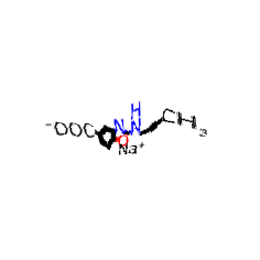 CC#CCNc1nc2cc(C(=O)[O-])ccc2o1.[Na+]